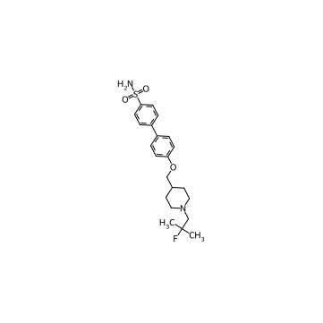 CC(C)(F)CN1CCC(COc2ccc(-c3ccc(S(N)(=O)=O)cc3)cc2)CC1